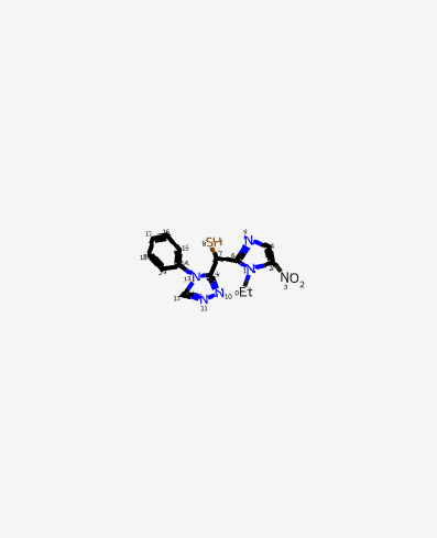 CCn1c([N+](=O)[O-])cnc1C(S)c1nncn1-c1ccccc1